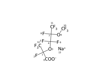 O=C([O-])C(F)(OC(F)(F)C(F)(OC(F)(F)F)C(F)(F)F)C(F)(F)F.[Na+]